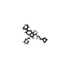 O=C(NCCC1CCC1)c1c(O)c2cc(-c3ccncc3)cnc2n(CCN2CCOCC2)c1=O